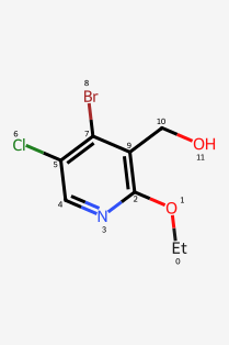 CCOc1ncc(Cl)c(Br)c1CO